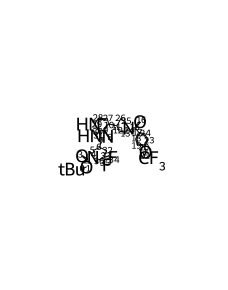 CC(C)(C)OC(=O)N1CC(C2=NC3=C(C4CCN(C(=O)c5ccc(OC(F)(F)F)cc5)CC4)C=CNC3N2)CC(F)(F)C1